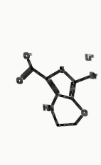 O=C([O-])c1sc(Br)c2c1NCCO2.[Li+]